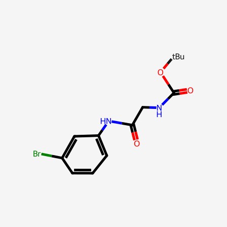 CC(C)(C)OC(=O)NCC(=O)Nc1cccc(Br)c1